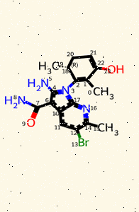 CC1=C(n2c(N)c(C(N)=O)c3cc(Br)c(C)nc32)[C@H](C)CC=C1O